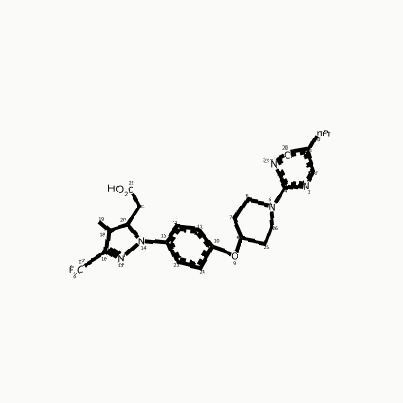 CCCc1cnc(N2CCC(Oc3ccc(N4N=C(C(F)(F)F)C(C)C4CC(=O)O)cc3)CC2)nc1